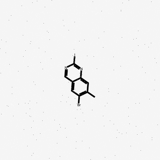 Cc1cc2nc(I)ncc2cc1Br